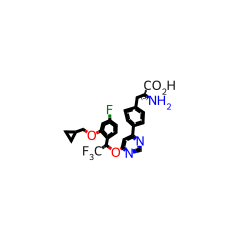 N[C@@H](Cc1ccc(-c2cc(OC(c3ccc(F)cc3OCC3CC3)C(F)(F)F)ncn2)cc1)C(=O)O